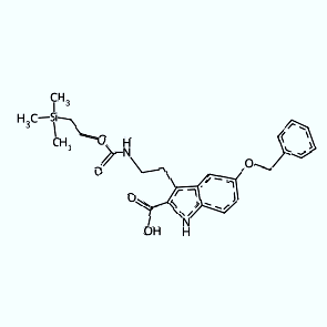 C[Si](C)(C)CCOC(=O)NCCc1c(C(=O)O)[nH]c2ccc(OCc3ccccc3)cc12